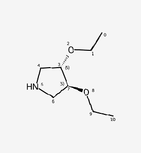 CCO[C@H]1CNC[C@@H]1OCC